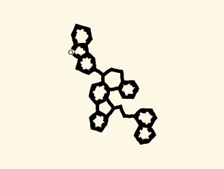 c1ccc2c(c1)CCC(c1ccc3oc4ccccc4c3c1)c1ccc3c(c1-2)C(CCc1cccc2ccccc12)c1ccccc1-3